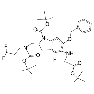 CC(C)(C)OC(=O)CNc1c(OCc2ccccc2)cc2c(c1F)C[C@H](CN(CCC(F)F)C(=O)OC(C)(C)C)N2C(=O)OC(C)(C)C